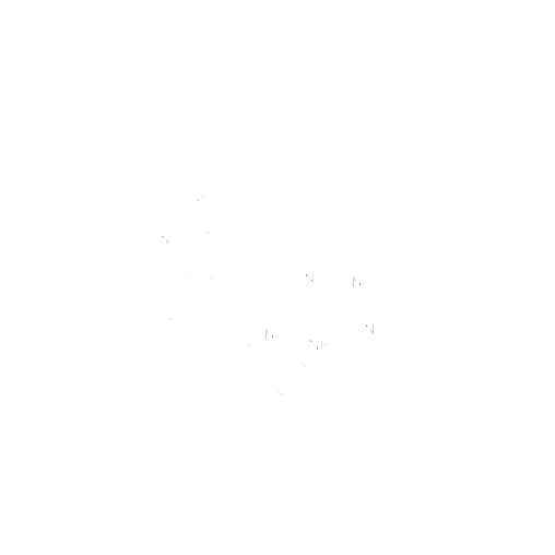 CCCCOc1nc(N)c2c(n1)CN(Cc1ccc(C(=O)N3CCCC3)cc1)C(=O)N2